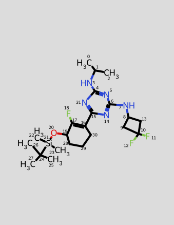 CC(C)Nc1nc(NC2CC(F)(F)C2)nc(C2=C(F)C(O[Si](C)(C)C(C)(C)C)CCC2)n1